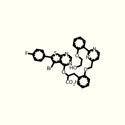 O=C(O)C(Cc1ccccc1OCc1ccnc(-c2ccccc2OCCO)n1)Oc1ncnc2sc(-c3ccc(F)cc3)c(Br)c12